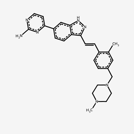 Cc1cc(CN2CCN(C)CC2)ccc1C=Cc1n[nH]c2cc(-c3ccnc(N)n3)ccc12